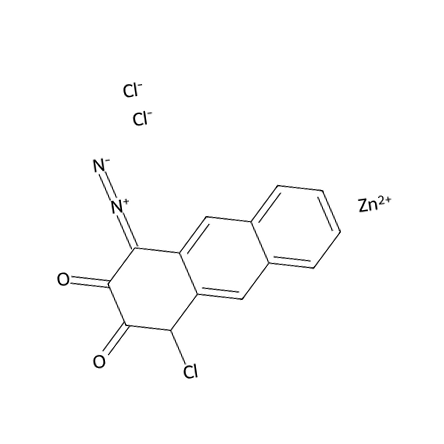 [Cl-].[Cl-].[N-]=[N+]=C1C(=O)C(=O)C(Cl)c2cc3ccccc3cc21.[Zn+2]